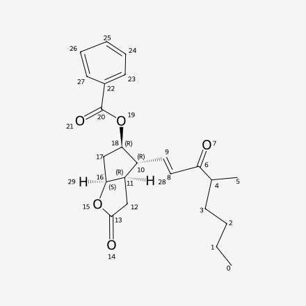 CCCCC(C)C(=O)C=C[C@@H]1[C@H]2CC(=O)O[C@H]2C[C@H]1OC(=O)c1ccccc1